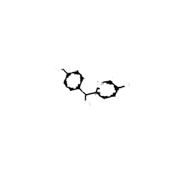 CC(C)C(c1ccc(Cl)cc1)c1ccc(Cl)cn1